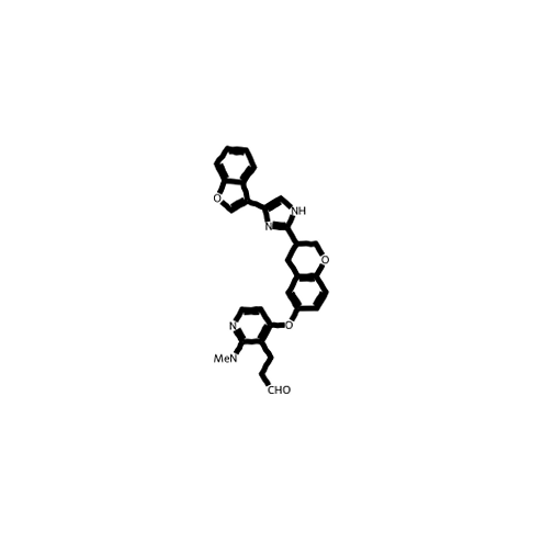 CNc1nccc(Oc2ccc3c(c2)CC(c2nc(-c4coc5ccccc45)c[nH]2)CO3)c1CCC=O